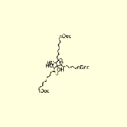 CCCCCCCCCCCCCCCCCC(=O)C(O)C(O)(C(=O)CCCCCCCCCCCCCCC)C(O)C(=O)CCCCCCCCCCCCCCCCC